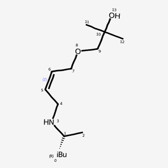 CC[C@@H](C)C(C)NC/C=C\COCC(C)(C)O